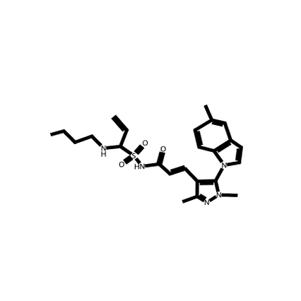 C=CC(NCCCC)S(=O)(=O)NC(=O)/C=C/c1c(C)nn(C)c1-n1ccc2cc(C)ccc21